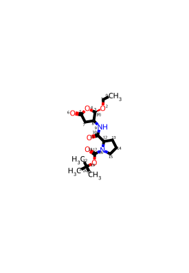 CCO[C@@H]1OC(=O)CC1NC(=O)C1CCCN1C(=O)OC(C)(C)C